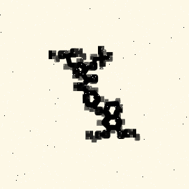 COc1cc2nccc(Oc3ccc(NC(=O)c4nn(CC(C)C)cc4OCC(F)(F)F)nc3)c2cc1OC